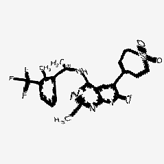 Cc1nc(N[C@H](C)c2cccc(C(F)(F)F)c2C)c2cc(C3CCS(=O)(=O)CC3)c(Cl)nc2n1